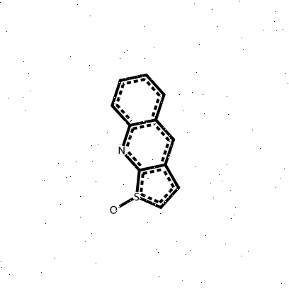 [O-][s+]1ccc2cc3ccccc3nc21